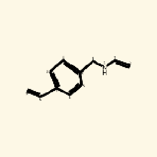 C=CNCc1ccc(C=C)cc1